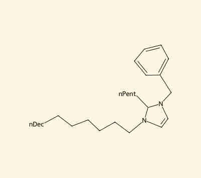 CCCCCCCCCCCCCCCCN1C=CN(Cc2ccccc2)C1CCCCC